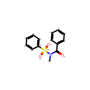 CN(C(=O)c1ccccc1)S(=O)(=O)c1ccccc1